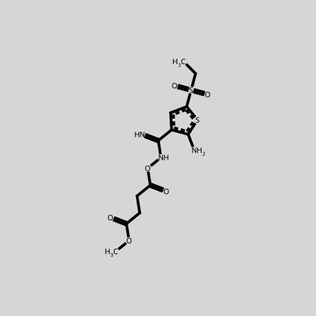 CCS(=O)(=O)c1cc(C(=N)NOC(=O)CCC(=O)OC)c(N)s1